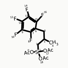 CC(=O)O[Si](CC(C)Cc1c(F)c(F)c(F)c(F)c1F)(OC(C)=O)OC(C)=O